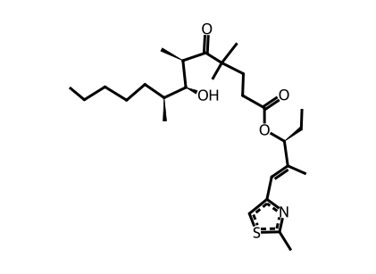 CCCCC[C@H](C)[C@H](O)[C@@H](C)C(=O)C(C)(C)CCC(=O)O[C@@H](CC)/C(C)=C/c1csc(C)n1